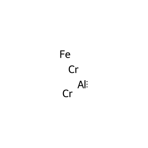 [Al].[Cr].[Cr].[Fe]